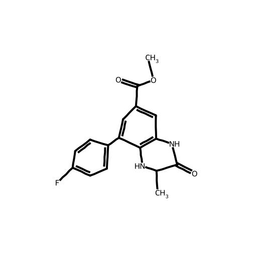 COC(=O)c1cc2c(c(-c3ccc(F)cc3)c1)NC(C)C(=O)N2